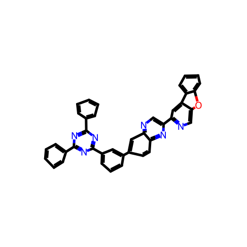 c1ccc(-c2nc(-c3ccccc3)nc(-c3cccc(-c4ccc5nc(-c6cc7c(cn6)oc6ccccc67)cnc5c4)c3)n2)cc1